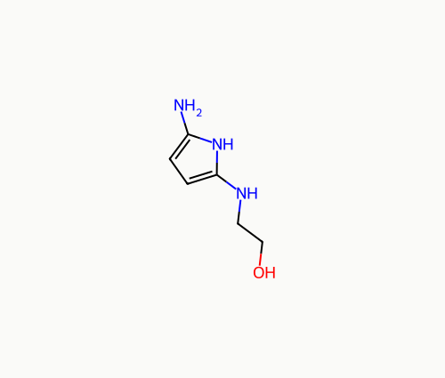 Nc1ccc(NCCO)[nH]1